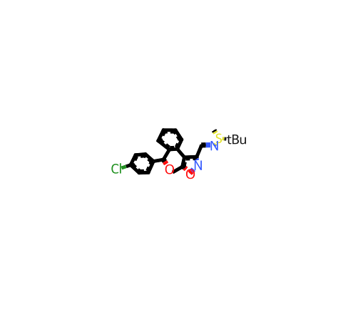 C=S(/N=C/c1noc(C)c1-c1ccccc1C(=O)c1ccc(Cl)cc1)C(C)(C)C